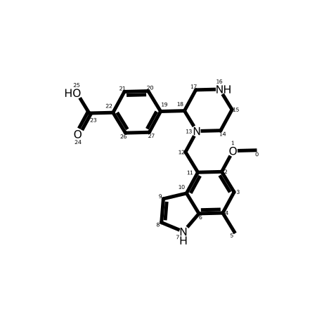 COc1cc(C)c2[nH]ccc2c1CN1CCNCC1c1ccc(C(=O)O)cc1